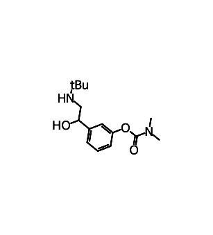 CN(C)C(=O)Oc1cccc(C(O)CNC(C)(C)C)c1